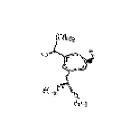 COC(=O)c1cc(F)cc(/C(N)=N/O)c1